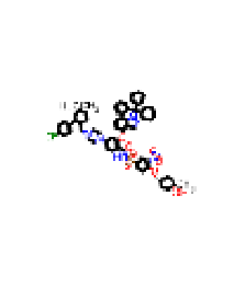 CC1(C)CCC(CN2CCN(c3ccc(C(=O)NS(=O)(=O)c4ccc(OC[C@H]5CC[C@@](C)(O)CC5)c([N+](=O)[O-])c4)c(Oc4cccc5c4cnn5C(c4ccccc4)(c4ccccc4)c4ccccc4)c3)CC2)=C(c2ccc(Cl)cc2)C1